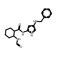 O=CNC1CCCCC1C(=O)Nc1cc(NCc2ccccc2)c[nH]1